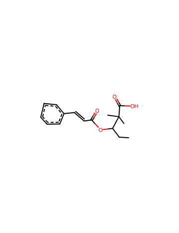 CCC(OC(=O)C=Cc1ccccc1)C(C)(C)C(=O)O